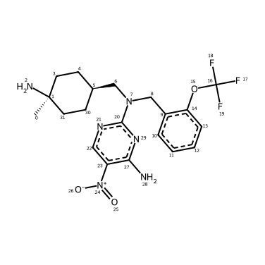 C[C@]1(N)CC[C@@H](CN(Cc2ccccc2OC(F)(F)F)c2ncc([N+](=O)[O-])c(N)n2)CC1